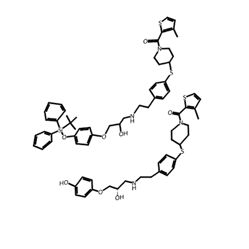 Cc1ccsc1C(=O)N1CCC(Sc2ccc(CCNCC(O)COc3ccc(O[Si](c4ccccc4)(c4ccccc4)C(C)(C)C)cc3)cc2)CC1.Cc1ccsc1C(=O)N1CCC(Sc2ccc(CCNC[C@H](O)COc3ccc(O)cc3)cc2)CC1